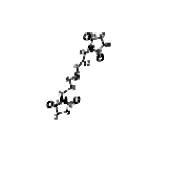 O=C1CCC(=O)N1CCCSCCCN1C(=O)CCC1=O